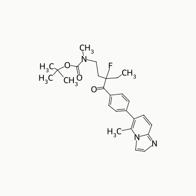 CCC(F)(CCN(C)C(=O)OC(C)(C)C)C(=O)c1ccc(-c2ccc3nccn3c2C)cc1